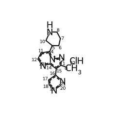 Cc1nn2c(C3CCCNC3)ccnc2c1-c1ccncn1.Cl